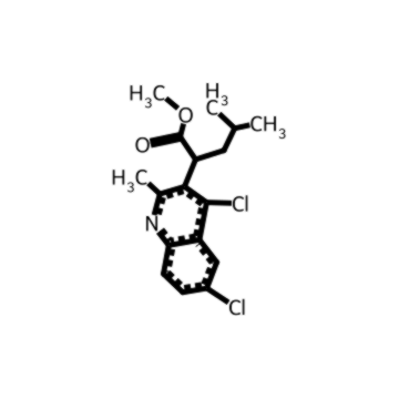 COC(=O)C(CC(C)C)c1c(C)nc2ccc(Cl)cc2c1Cl